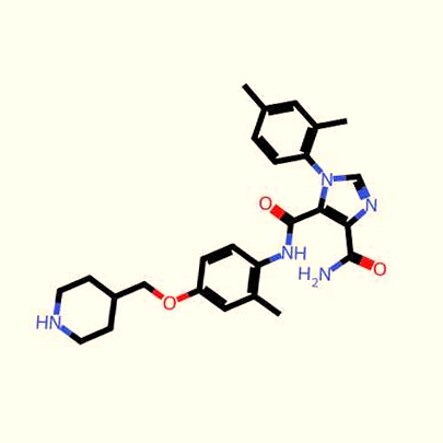 Cc1ccc(-n2cnc(C(N)=O)c2C(=O)Nc2ccc(OCC3CCNCC3)cc2C)c(C)c1